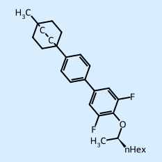 CCCCCC[C@@H](C)Oc1c(F)cc(-c2ccc(C34CCC(C)(CC3)CC4)cc2)cc1F